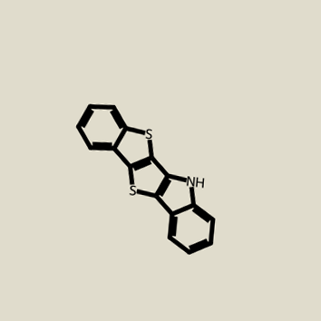 c1ccc2c(c1)[nH]c1c2sc2c3ccccc3sc12